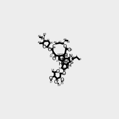 CCc1nc2c(s1)[C@@H]1C[C@@H](OC3OC(C)C(OC)C(OC)C3OC)C[C@H]1[C@@H]1C=C3C(=O)[C@H](C)[C@@H](O[C@H]4CC[C@H](N(C)C)C(C)O4)CCC[C@H](CC)OC(=O)C[C@H]3[C@H]21